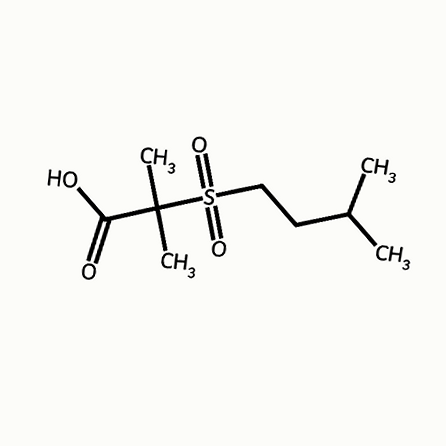 CC(C)CCS(=O)(=O)C(C)(C)C(=O)O